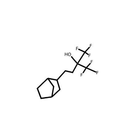 OC(CCC1CC2CCC1C2)(C(F)(F)F)C(F)(F)F